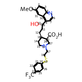 COc1ccc2nccc([C@@H](O)CC[C@@H]3CCN(CCSc4ccc(C(F)(F)F)cc4)C[C@@H]3C(=O)O)c2c1